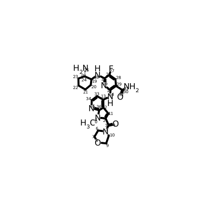 Cn1c(C(=O)N2CCOCC2)cc2c(Nc3nc(NC4CCCC[C@@H]4N)c(F)cc3C(N)=O)ccnc21